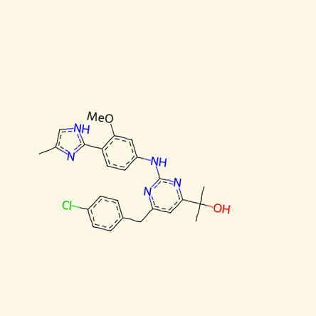 COc1cc(Nc2nc(Cc3ccc(Cl)cc3)cc(C(C)(C)O)n2)ccc1-c1nc(C)c[nH]1